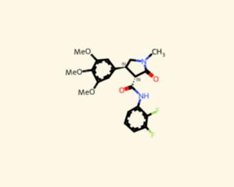 COc1cc([C@H]2CN(C)C(=O)[C@@H]2C(=O)Nc2cccc(F)c2F)cc(OC)c1OC